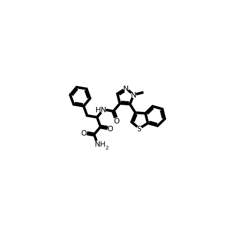 Cn1ncc(C(=O)NC(Cc2ccccc2)C(=O)C(N)=O)c1-c1csc2ccccc12